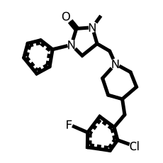 CN1C(=O)N(c2ccccc2)CC1CN1CCC(Cc2cc(F)ccc2Cl)CC1